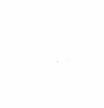 O=C(O)C1=CC2c3ccccc3NC2CN1